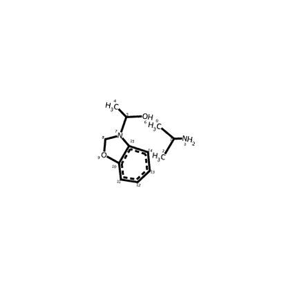 CC(C)N.CC(O)N1COc2ccccc21